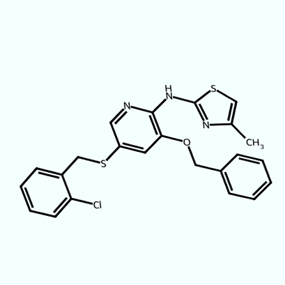 Cc1csc(Nc2ncc(SCc3ccccc3Cl)cc2OCc2ccccc2)n1